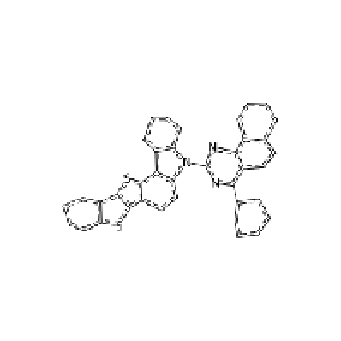 c1ccc(-c2nc(-n3c4ccccc4c4c5sc6c7ccccc7sc6c5ccc43)nc3c2ccc2ccccc23)cc1